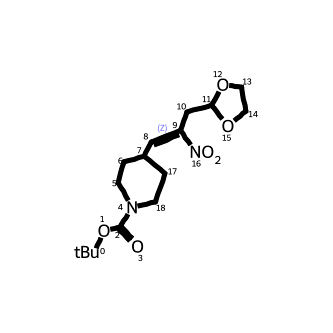 CC(C)(C)OC(=O)N1CCC(/C=C(/CC2OCCO2)[N+](=O)[O-])CC1